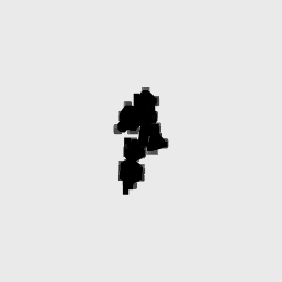 Cc1ccc(-n2nccn2)c(C(=O)N(CCn2cc(-c3ccc(F)cc3)cn2)CC2CC2)c1